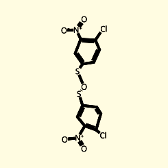 O=[N+]([O-])c1cc(SOSc2ccc(Cl)c([N+](=O)[O-])c2)ccc1Cl